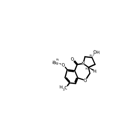 CC[C@@H](C)Oc1cc(C)cc2c1C(=O)N1C[C@H](O)C[C@@H]1CO2